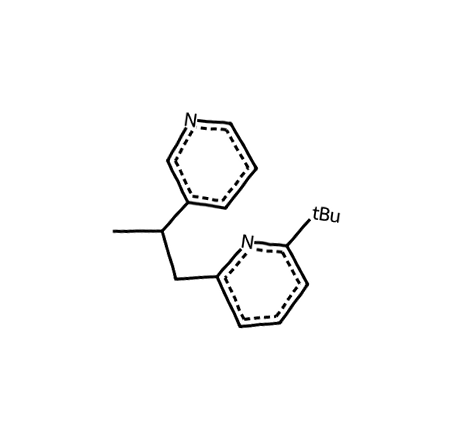 CC(Cc1cccc(C(C)(C)C)n1)c1cccnc1